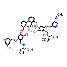 C/N=C/c1cncc(COc2cc(OCc3cccc(-c4cccc(COc5cc(OCc6cncc(C)c6)c(CN[C@@H](CC#N)C(=O)O)cc5Cl)c4C)c3C)c(Cl)cc2CN[C@@H](CC#N)C(=O)O)c1